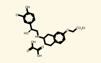 CCOC(=O)COc1ccc2c(c1)CC(NC[C@@H](O)c1ccc(O)c(Cl)c1)CC2.O=C(O)C(=O)O